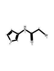 O=C(CBr)Nc1ccsc1